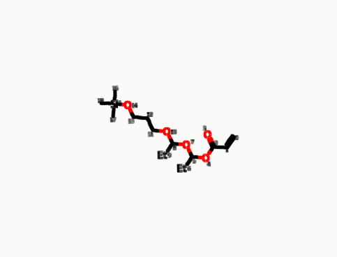 C=CC(=O)OC(CC)OC(CC)OCCCO[Si](C)(C)C